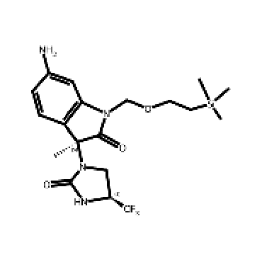 C[C@@]1(N2C[C@@H](C(F)(F)F)NC2=O)C(=O)N(COCC[Si](C)(C)C)c2cc(N)ccc21